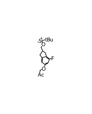 CC(=O)COc1cc(F)c2c(c1)CC(CO[Si](C)(C)C(C)(C)C)C2